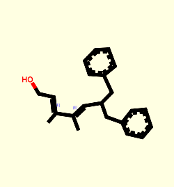 CC(=C\CO)/C(C)=C/C(Cc1ccccc1)Cc1ccccc1